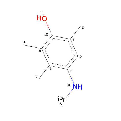 Cc1cc(NC(C)C)c(C)c(C)c1O